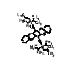 CC=C[Si](C#Cc1c2cc3ccccc3cc2c(C#C[Si](C=CC)(C(C)C)C(C)C)c2cc3ccccc3cc12)(C(C)C)C(C)C